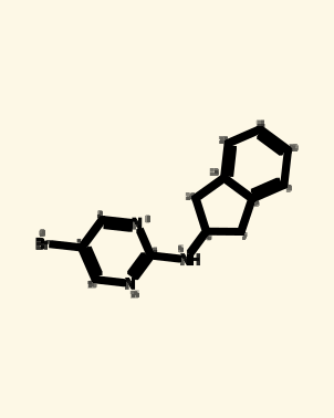 Brc1cnc(NC2Cc3ccccc3C2)nc1